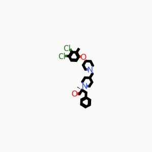 Cc1c(OC2CCN(CC3CCN([C@](C)(C=O)Cc4ccccc4)CC3)CC2)ccc(Cl)c1Cl